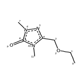 CCOCc1nn(C)c(=O)n1C